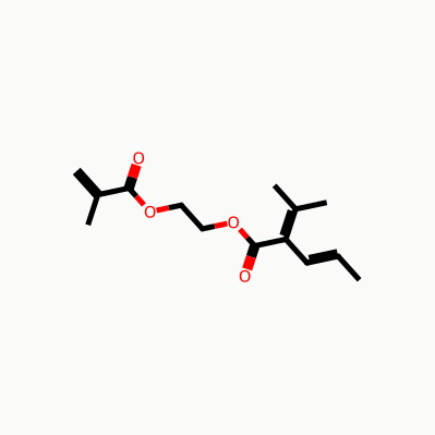 C=C(C)C(=O)OCCOC(=O)C(C=CC)=C(C)C